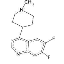 CN1CCC(c2ccnc3cc(F)c(F)cc23)CC1